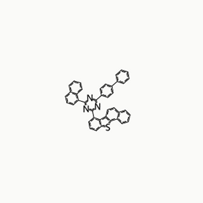 c1ccc(-c2ccc(-c3nc(-c4cccc5ccccc45)nc(-c4cccc5sc6c7ccccc7ccc6c45)n3)cc2)cc1